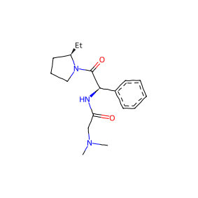 CC[C@@H]1CCCN1C(=O)[C@H](NC(=O)CN(C)C)c1ccccc1